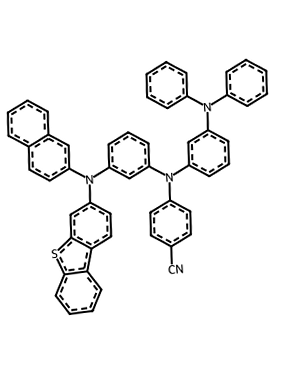 N#Cc1ccc(N(c2cccc(N(c3ccccc3)c3ccccc3)c2)c2cccc(N(c3ccc4ccccc4c3)c3ccc4c(c3)sc3ccccc34)c2)cc1